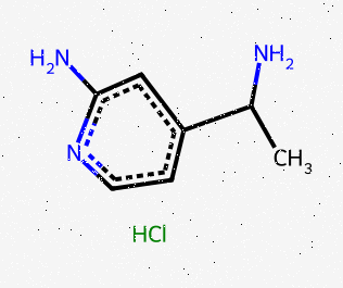 CC(N)c1ccnc(N)c1.Cl